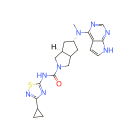 CN(c1ncnc2[nH]ccc12)[C@@H]1CC2CN(C(=O)Nc3nc(C4CC4)ns3)C[C@H]2C1